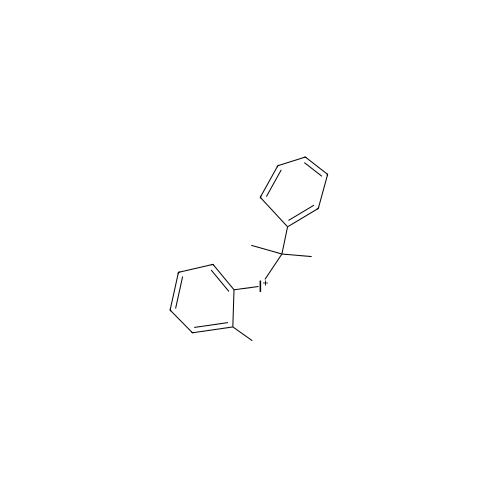 Cc1ccccc1[I+]C(C)(C)c1ccccc1